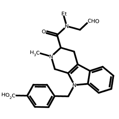 CCN(CC=O)C(=O)C1Cc2c(n(Cc3ccc(C(=O)O)cc3)c3ccccc23)CN1C